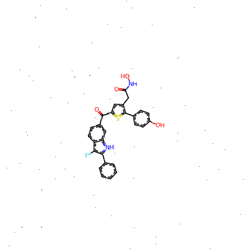 O=C(Cc1cc(C(=O)c2ccc3c(F)c(-c4ccccc4)[nH]c3c2)sc1-c1ccc(O)cc1)NO